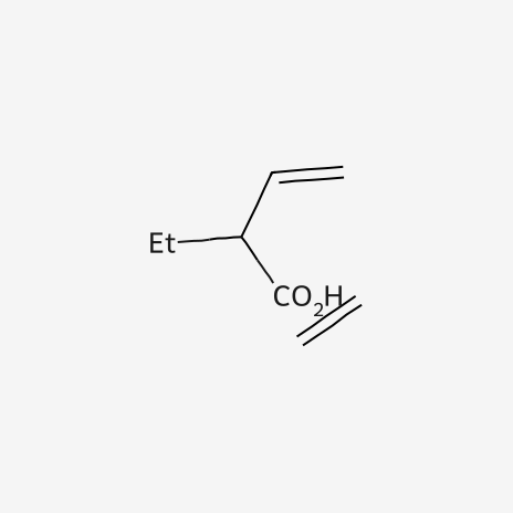 C=C.C=CC(CC)C(=O)O